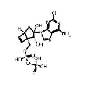 Nc1nc(Cl)nc2c1ncn2[C@@]1(O)C[C@H]2C=C[C@@]2(COP(=O)(O)OP(=O)(O)O)[C@H]1O